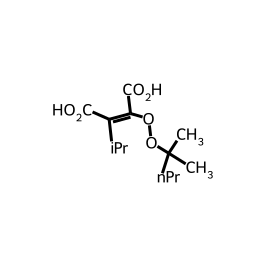 CCCC(C)(C)OOC(C(=O)O)=C(C(=O)O)C(C)C